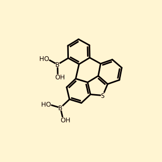 OB(O)c1cc2sc3cccc4c5cccc(B(O)O)c5c(c1)c2c34